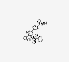 CNC(=O)c1ccc(-c2cnc(Cl)c(NS(=O)(=O)c3ccccc3)c2)cc1